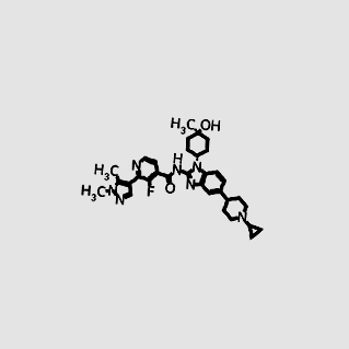 Cc1c(-c2nccc(C(=O)Nc3nc4cc(C5CCN(C6CC6)CC5)ccc4n3[C@H]3CC[C@@](C)(O)CC3)c2F)cnn1C